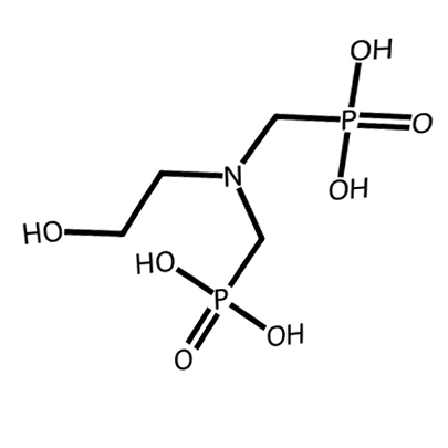 O=P(O)(O)CN(CCO)CP(=O)(O)O